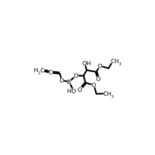 C=C=COB(O)OC(C(=O)OCC)C(O)C(=O)OCC